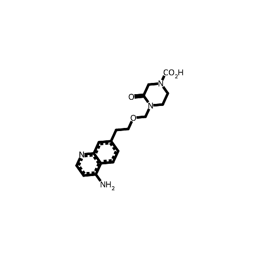 Nc1ccnc2cc(CCOCN3CCN(C(=O)O)CC3=O)ccc12